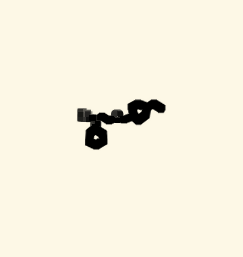 C=Cc1ccc(COCCN(CC)c2ccccc2)cc1